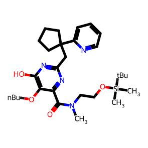 CCCCOc1c(O)nc(CC2(c3ccccn3)CCCC2)nc1C(=O)N(C)CCO[Si](C)(C)C(C)(C)C